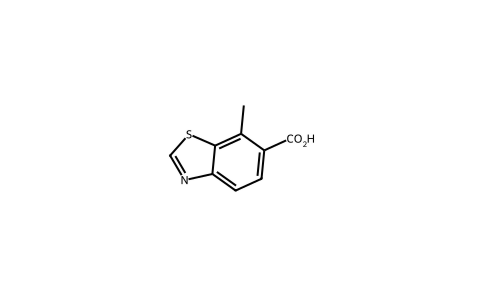 Cc1c(C(=O)O)ccc2ncsc12